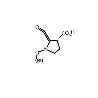 CC(C)(C)ON1CC[C@@H](C(=O)O)C1=C=O